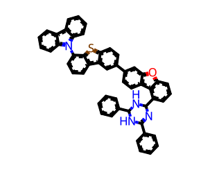 c1ccc(C2=NC(c3cccc4oc5cc(-c6ccc7sc8c(-n9c%10ccccc%10c%10ccccc%109)cccc8c7c6)ccc5c34)NC(c3ccccc3)N2)cc1